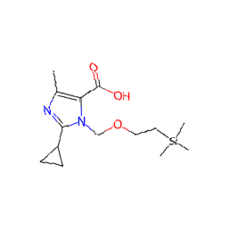 Cc1nc(C2CC2)n(COCC[Si](C)(C)C)c1C(=O)O